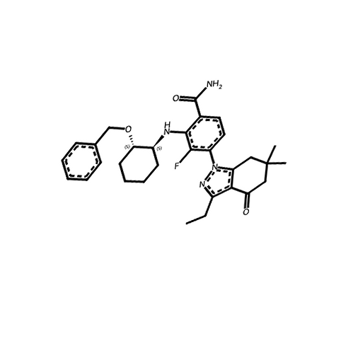 CCc1nn(-c2ccc(C(N)=O)c(N[C@H]3CCCC[C@@H]3OCc3ccccc3)c2F)c2c1C(=O)CC(C)(C)C2